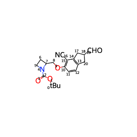 CC(C)(C)OC(=O)N1CCC1COc1ccc2c(c1C#N)CC(C=O)C2